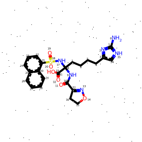 Nc1nc(CCCCC(NC(=O)C2=NOCC2)(NS(=O)(=O)c2cccc3ccccc23)C(=O)O)c[nH]1